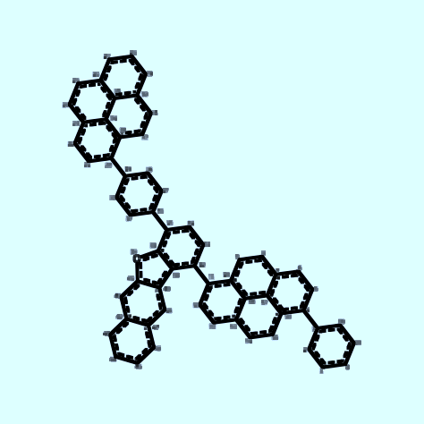 c1ccc(-c2ccc3ccc4c(-c5ccc(-c6ccc(-c7ccc8ccc9cccc%10ccc7c8c9%10)cc6)c6oc7cc8ccccc8cc7c56)ccc5ccc2c3c54)cc1